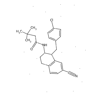 CC(C)(C)CC(=O)NC1CCc2ccc(C#N)cc2C1Cc1ccc(Cl)cc1